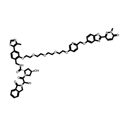 Cc1ncsc1-c1ccc(CNC(=O)[C@@H]2C[C@@H](O)CN2C(=O)C(C(C)C)N2Cc3ccccc3C2=O)c(OCCOCCOCCOCCOc2ccc(COc3ccc4oc(-c5ccc(=O)n(C)n5)nc4c3)nc2)c1